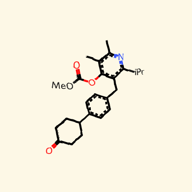 COC(=O)Oc1c(C)c(C)nc(C(C)C)c1Cc1ccc(C2CCC(=O)CC2)cc1